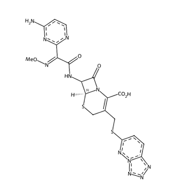 CON=C(C(=O)NC1C(=O)N2C(C(=O)O)=C(CSc3ccc4nnnn4n3)CS[C@@H]12)c1nccc(N)n1